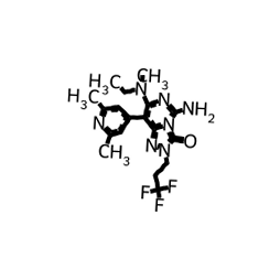 CCN(C)c1nc(N)n2c(=O)n(CCC(F)(F)F)nc2c1-c1cc(C)nc(C)c1